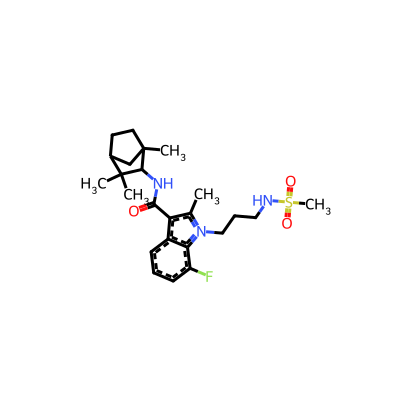 Cc1c(C(=O)NC2C3(C)CCC(C3)C2(C)C)c2cccc(F)c2n1CCCNS(C)(=O)=O